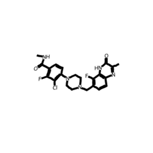 CNC(=O)c1ccc(N2CCN(Cc3ccc4nc(C)c(=O)[nH]c4c3F)CC2)c(Cl)c1F